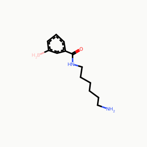 Bc1cccc(C(=O)NCCCCCCN)c1